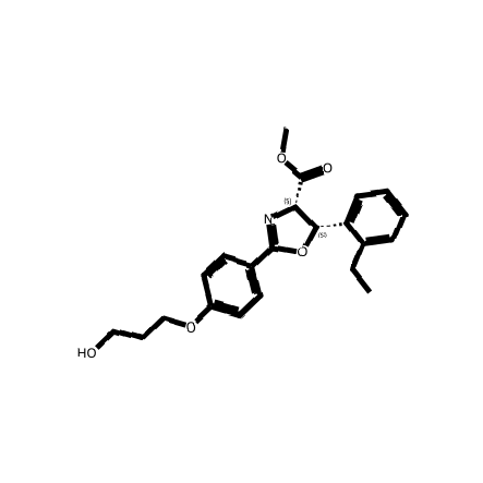 CCc1ccccc1[C@@H]1OC(c2ccc(OCCCO)cc2)=N[C@@H]1C(=O)OC